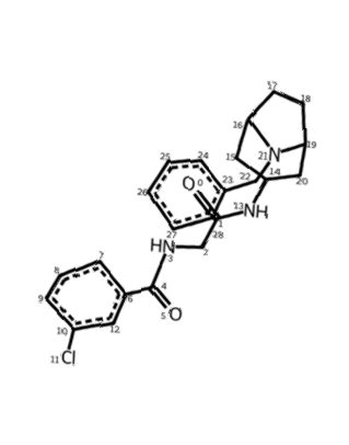 O=C(CNC(=O)c1cccc(Cl)c1)NC1CC2CCC(C1)N2Cc1ccccc1